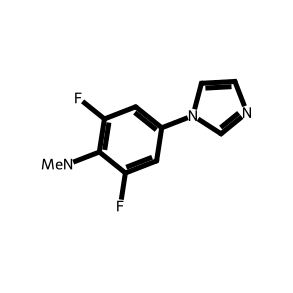 CNc1c(F)cc(-n2ccnc2)cc1F